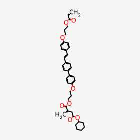 C=CC(=O)OCCCOc1ccc(/C=C/c2ccc(-c3ccc(OCCCOC(=O)C(=C)CC(=O)OC4CCCCC4)cc3)cc2)cc1